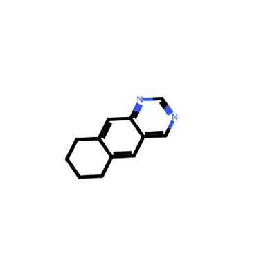 c1ncc2cc3c(cc2n1)CCCC3